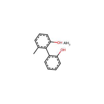 Cc1cccc(O)c1-c1ccccc1O.[AlH3]